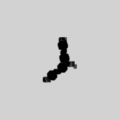 [C-]#[N+]c1ccc(/C=C/c2ccc(N(C)c3ccc(/C=C/c4ccc(C#N)cc4)cc3)cc2)cc1